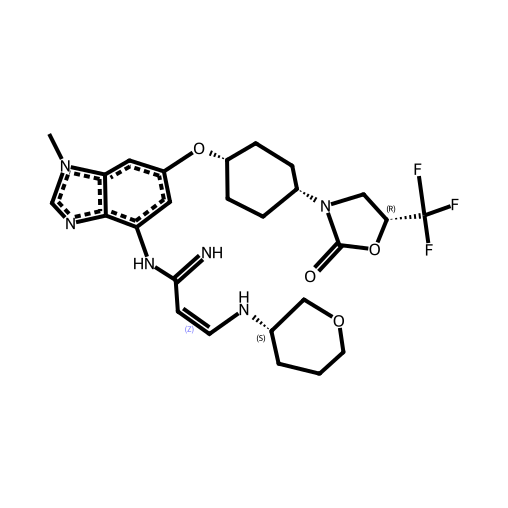 Cn1cnc2c(NC(=N)/C=C\N[C@H]3CCCOC3)cc(O[C@H]3CC[C@@H](N4C[C@H](C(F)(F)F)OC4=O)CC3)cc21